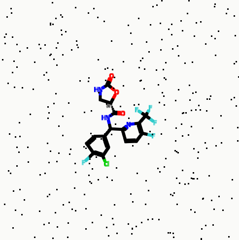 O=C1NC[C@@H](C(=O)NC(c2ccc(F)c(Cl)c2)c2ccc(F)c(C(F)(F)F)n2)O1